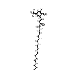 CCCCCCCCCCCCCCCCCCNC(=O)C=Cc1cc(C(C)(C)C)cc(C)c1O